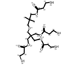 CC(C)(COCC(COC(=O)CCS)(COC(=O)CCS)COC(=O)CCS)COC(=O)CCS